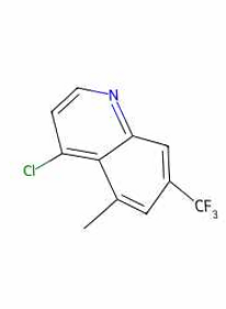 Cc1cc(C(F)(F)F)cc2nccc(Cl)c12